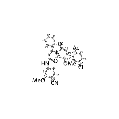 COc1cc(NC(=O)CC(c2ccccc2)n2cc(OC)c(-c3cc(Cl)ccc3C(C)=O)cc2=O)ccc1C#N